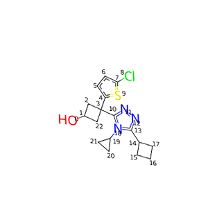 OC1CC(c2ccc(Cl)s2)(c2nnc(C3CCC3)n2C2CC2)C1